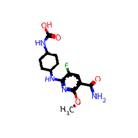 COc1nc(NC2CCC(NC(=O)O)CC2)c(F)cc1C(N)=O